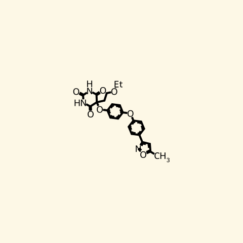 CCOCCC1(Oc2ccc(Oc3ccc(-c4cc(C)on4)cc3)cc2)C(=O)NC(=O)NC1=O